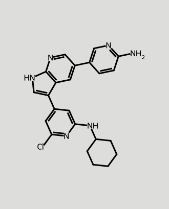 Nc1ccc(-c2cnc3[nH]cc(-c4cc(Cl)nc(NC5CCCCC5)c4)c3c2)cn1